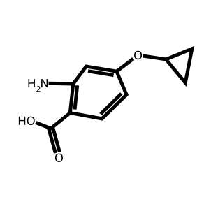 Nc1cc(OC2CC2)ccc1C(=O)O